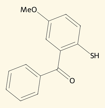 COc1ccc(S)c(C(=O)c2ccccc2)c1